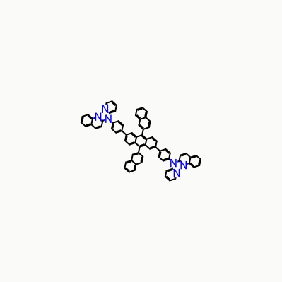 c1ccc(N(c2ccc(-c3ccc4c(-c5ccc6ccccc6c5)c5cc(-c6ccc(N(c7ccccn7)c7ccc8ccccc8n7)cc6)ccc5c(-c5ccc6ccccc6c5)c4c3)cc2)c2ccc3ccccc3n2)nc1